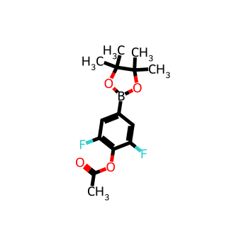 CC(=O)Oc1c(F)cc(B2OC(C)(C)C(C)(C)O2)cc1F